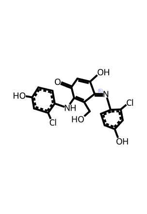 O=C1C=C(O)/C(=N/c2ccc(O)cc2Cl)C(CO)=C1Nc1ccc(O)cc1Cl